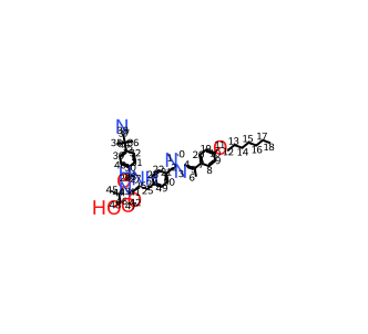 C=N/C(=N\C=C(/C)c1ccc(OCCCCCCC)cc1)c1ccc(C[C@H](NC(=O)c2ccc(C(C)(C)C#N)cc2)C(=O)N[C@H](C)C(=O)O)cc1